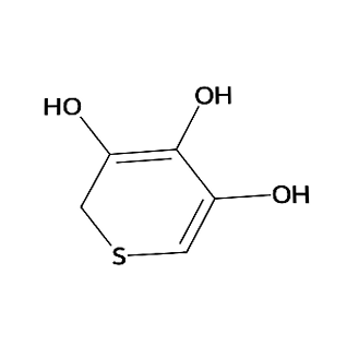 OC1=CSCC(O)=C1O